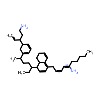 C=CC(CCN)C1C=CC=C(C(C)CCC(CC)C2C=CC(C/C=C\C=C(/N)CCCCC)=C3C=CCCC32)C1